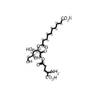 NC(CCC(=O)OCC(=O)[C@H](OC(=O)CCCCCCCCC(=O)O)[C@@H](O)[C@H](O)CO)C(=O)O